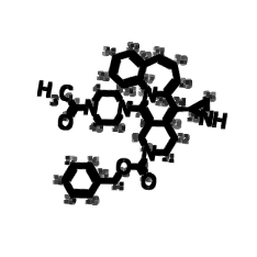 CC(=O)N1CCN(C2=C3CN(C(=O)OCc4ccccc4)CCC3=C([C@H]3CN3)C3=CC=Cc4ccccc4N32)CC1